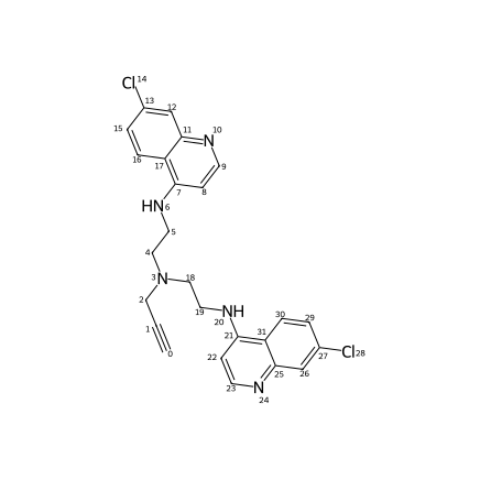 C#CCN(CCNc1ccnc2cc(Cl)ccc12)CCNc1ccnc2cc(Cl)ccc12